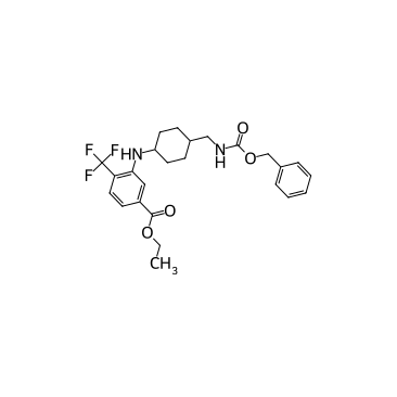 CCOC(=O)c1ccc(C(F)(F)F)c(NC2CCC(CNC(=O)OCc3ccccc3)CC2)c1